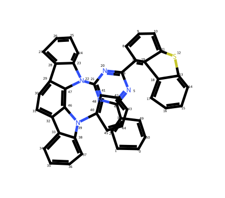 c1ccc(-c2nc(-c3cccc4sc5ccccc5c34)nc(-n3c4ccccc4c4ccc5c6ccccc6n(-c6ccccc6)c5c43)n2)cc1